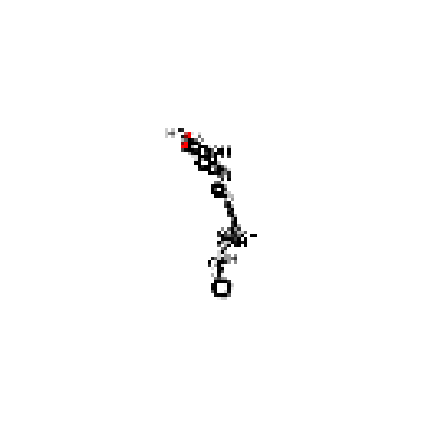 C[C@]12Cc3cnn(-c4cccc(OCCCCCCP(=O)(O)OP(=O)(O)OCCNC(=O)COC5C#CCCCCC5)c4)c3C=C1CC[C@@H]1[C@@H]2[C@@H](O)C[C@@]2(C)[C@H]1C[C@H]1OCO[C@]12C(=O)CO